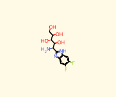 N[C@H](c1nc2cc(F)c(F)cc2[nH]1)C(O)[C@@H](O)C(O)CO